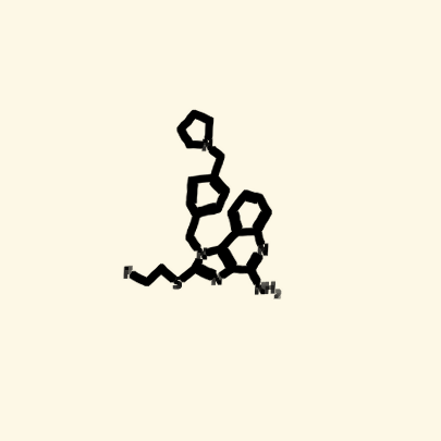 Nc1nc2ccccc2c2c1nc(SCCF)n2Cc1ccc(CN2CCCC2)cc1